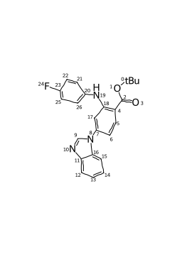 CC(C)(C)OC(=O)c1ccc(-n2cnc3ccccc32)cc1Nc1ccc(F)cc1